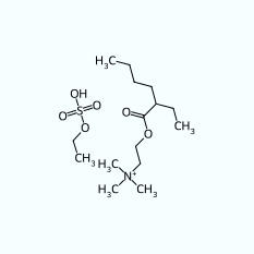 CCCCC(CC)C(=O)OCC[N+](C)(C)C.CCOS(=O)(=O)O